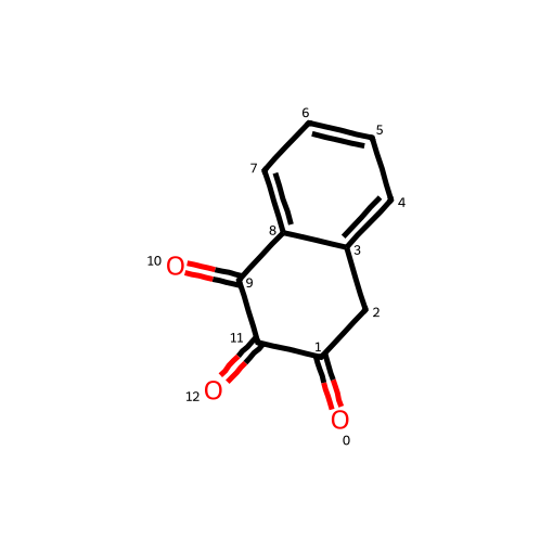 O=C1Cc2ccccc2C(=O)C1=O